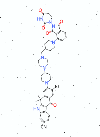 CCc1cc2c(cc1N1CCC(N3CCN(CC4CCN(c5cccc6c5C(=O)N(N5CCC(=O)NC5=O)C6=O)CC4)CC3)CC1)C(C)(C)c1[nH]c3cc(C#N)ccc3c1C2=O